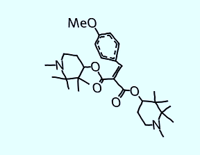 COc1ccc(C=C(C(=O)OC2CCN(C)C(C)(C)C2(C)C)C(=O)OC2CCN(C)C(C)(C)C2(C)C)cc1